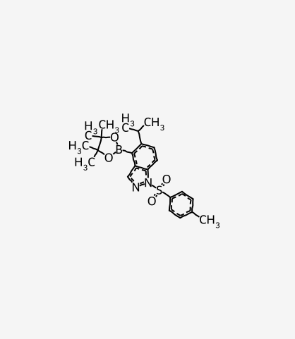 Cc1ccc(S(=O)(=O)n2ncc3c(B4OC(C)(C)C(C)(C)O4)c(C(C)C)ccc32)cc1